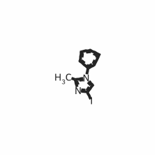 Cc1nc(I)cn1-c1ccccc1